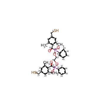 Cc1cc(CS)cc(C)c1C(=O)P(=O)(OCCOP(=O)(C(=O)c1c(C)cc(CS)cc1C)c1ccccc1)c1ccccc1